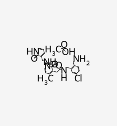 CC(=O)O.Cc1ccn(NCc2ccc[nH]c2=O)c(=O)c1CC(=O)NCc1cc(Cl)ccc1CN